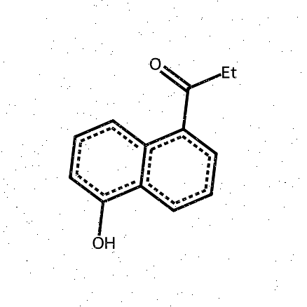 CCC(=O)c1cccc2c(O)cccc12